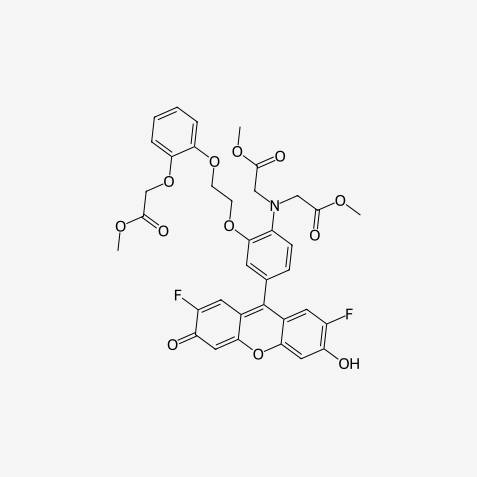 COC(=O)COc1ccccc1OCCOc1cc(-c2c3cc(F)c(=O)cc-3oc3cc(O)c(F)cc23)ccc1N(CC(=O)OC)CC(=O)OC